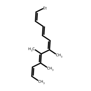 C\C=C/C(C)=C(C)/C(C)=C\C=C\C=C/CC